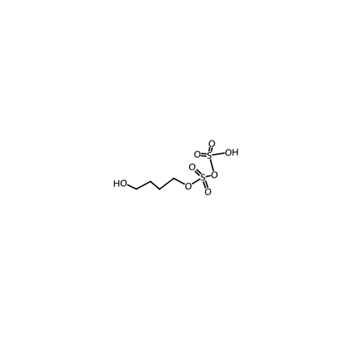 O=S(=O)(O)OS(=O)(=O)OCCCCO